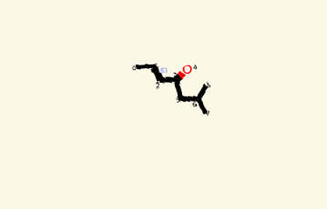 C/C=C/C(=O)CC(C)C